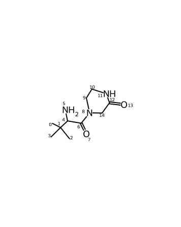 CC(C)(C)C(N)C(=O)N1CCNC(=O)C1